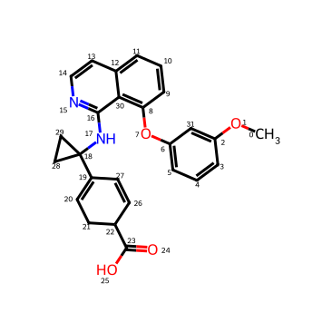 COc1cccc(Oc2cccc3ccnc(NC4(C5=CCC(C(=O)O)C=C5)CC4)c23)c1